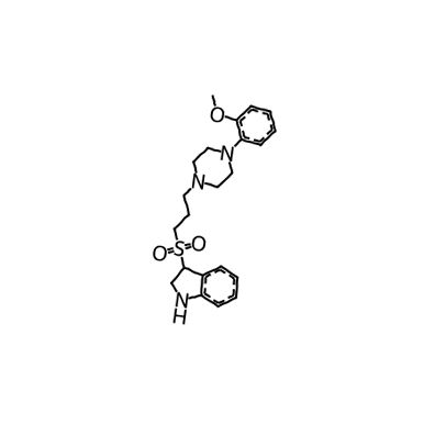 COc1ccccc1N1CCN(CCCS(=O)(=O)C2CNc3ccccc32)CC1